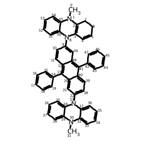 CN1C2=C(C=CCC2)N(c2ccc3c(-c4ccccc4)c4cc(N5c6ccccc6N(C)c6ccccc65)ccc4c(-c4ccccc4)c3c2)c2ccccc21